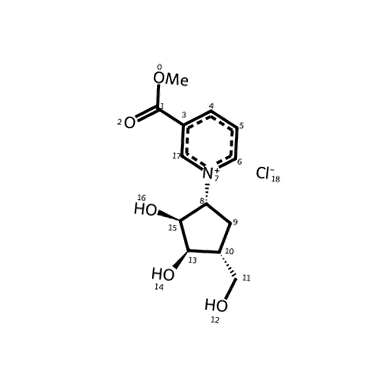 COC(=O)c1ccc[n+]([C@@H]2C[C@H](CO)[C@@H](O)[C@H]2O)c1.[Cl-]